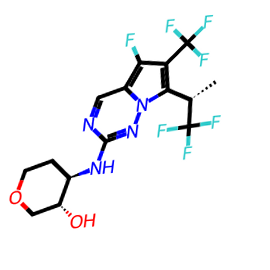 C[C@@H](c1c(C(F)(F)F)c(F)c2cnc(N[C@@H]3CCOC[C@H]3O)nn12)C(F)(F)F